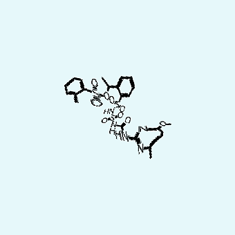 COc1cc(C)nc(NC(=O)NS(=O)(=O)NS(=O)(=O)c2ccccc2C(C)OS(=O)(=O)c2ccccc2C)n1